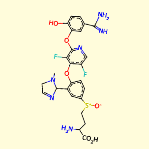 CN1CC=NC1c1cc([S+]([O-])CCC(N)C(=O)O)ccc1Oc1c(F)cnc(Oc2cc(C(=N)N)ccc2O)c1F